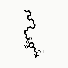 CC/C=C\C/C=C\C/C=C\C/C=C\C/C=C\C/C=C\CCC(=O)Oc1ccc(/C=C/[C@H](O)C(C)(C)C)cc1OC